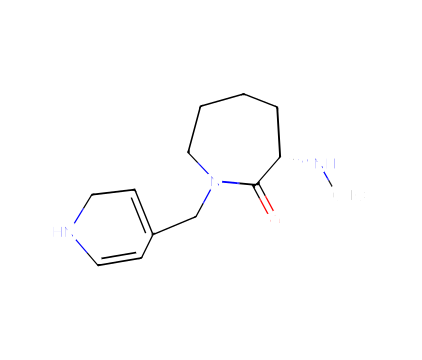 O=[C]N[C@H]1CCCCN(CC2=CCNC=C2)C1=O